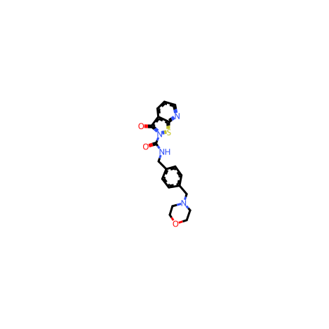 O=C(NCc1ccc(CN2CCOCC2)cc1)n1sc2ncccc2c1=O